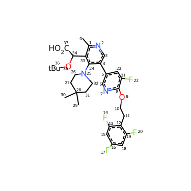 Cc1ncc(-c2cnc(OCCc3c(F)cc(F)cc3F)c(F)c2)c(N2CCC(C)(C)CC2)c1C(OC(C)(C)C)C(=O)O